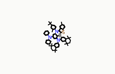 Cc1ccc2sc3c(c2c1)N(c1ccc(C(C)(C)C)cc1C)c1cc(N(c2ccccc2)c2ccccc2)cc2c1B3c1cc3c(cc1N2c1ccc2c(c1)C(C)(C)CCC2(C)C)C(C)(C)CCC3(C)C